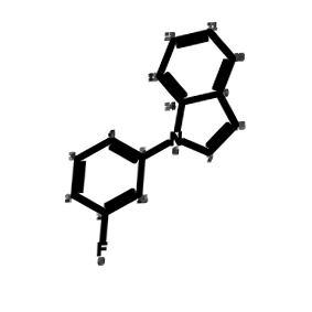 Fc1cccc(-n2c[c]c3ccccc32)c1